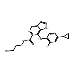 O=C(NOCCO)c1ncc2cn[nH]c2c1Nc1ccc(C2CC2)cc1F